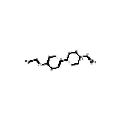 CCO[C@H]1CC[C@H]([C@H]2CC[C@H](CC)CC2)CC1